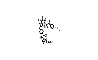 CC(=O)On1nc(NC(=O)c2ccc(Cc3nc(C(N)=O)c(NC(=O)Nc4ccc(C(F)(F)F)cc4)[nH]3)cc2)cc1C